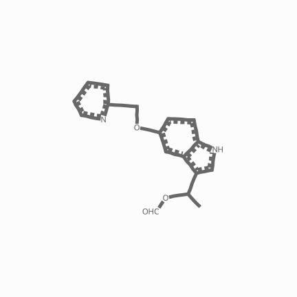 CC(OC=O)c1c[nH]c2ccc(OCc3ccccn3)cc12